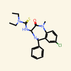 CCN(CC)C(=S)NC1N=C(c2ccccc2)c2cc(Cl)ccc2N(C)C1=O